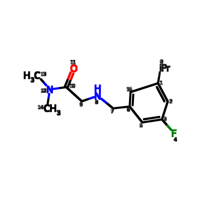 CC(C)c1cc(F)cc(CNCC(=O)N(C)C)c1